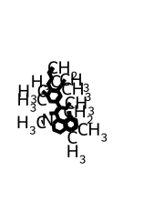 C=CCCC1=C(C(C)(C)C)C=C(/C(CC)=C2\CN(C)C3CCc4c(C)c(C)cc(=C)c4=C23)CC1(C)C